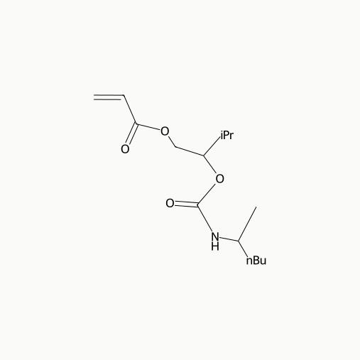 C=CC(=O)OCC(OC(=O)NC(C)CCCC)C(C)C